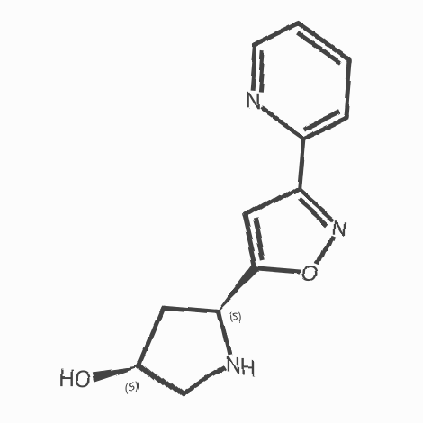 O[C@@H]1CN[C@H](c2cc(-c3ccccn3)no2)C1